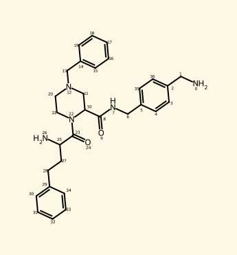 NCc1ccc(CNC(=O)C2CN(Cc3ccccc3)CCN2C(=O)C(N)CCc2ccccc2)cc1